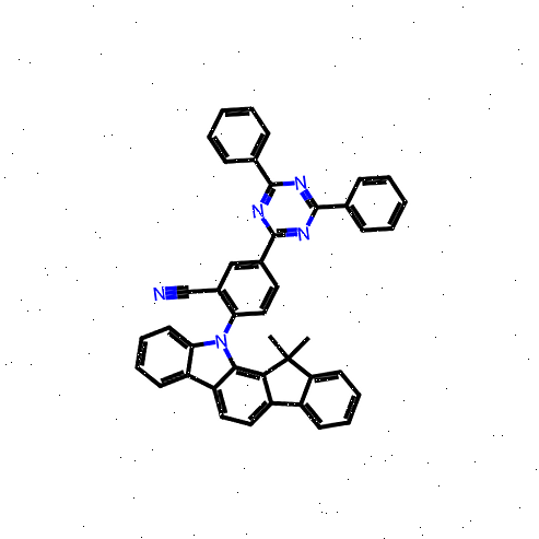 CC1(C)c2ccccc2-c2ccc3c4ccccc4n(-c4ccc(-c5nc(-c6ccccc6)nc(-c6ccccc6)n5)cc4C#N)c3c21